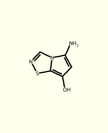 Nc1cc(O)c2sncn12